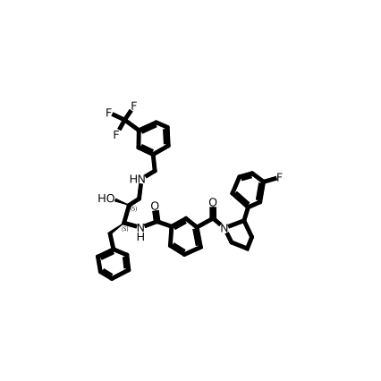 O=C(N[C@@H](Cc1ccccc1)[C@@H](O)CNCc1cccc(C(F)(F)F)c1)c1cccc(C(=O)N2CCCC2c2cccc(F)c2)c1